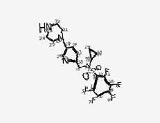 O=S(=O)(c1c(F)c(F)c(F)c(F)c1F)N(Cc1ccc(N2CCNCC2)cn1)C1CC1